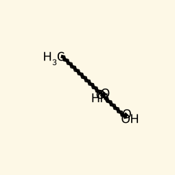 CCCCCCCCCCCCCCCCCCCCCCOC(=O)NCCCCCCCCCCC(=O)O